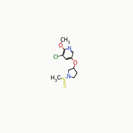 COc1ncc(OC2CCN(S(C)=S)C2)cc1Cl